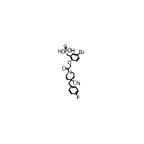 N#CC1(Cc2ccc(F)cc2)CCN(C(=O)COc2ccc(Br)cc2CP(=O)(O)O)CC1